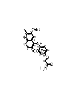 CCOC(=O)c1cnc2nc(C)c(OCC)cc2c1Nc1ccc(OCC(N)=O)cc1